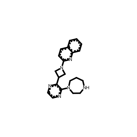 c1ccc2nc(N3CC(c4nccnc4N4CCCNCC4)C3)ccc2c1